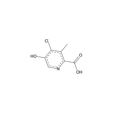 Cc1c(C(=O)O)ncc(O)c1Cl